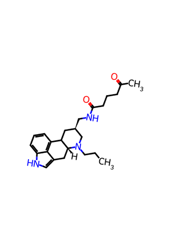 CCCN1C[C@H](CNC(=O)CCCC(C)=O)CC2c3cccc4[nH]cc(c34)C[C@H]21